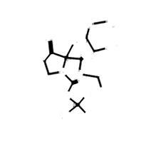 C=C1CCN(C(=O)OC(C)(C)C)C1(C[C@@H](CCl)OC)C(=O)OCC